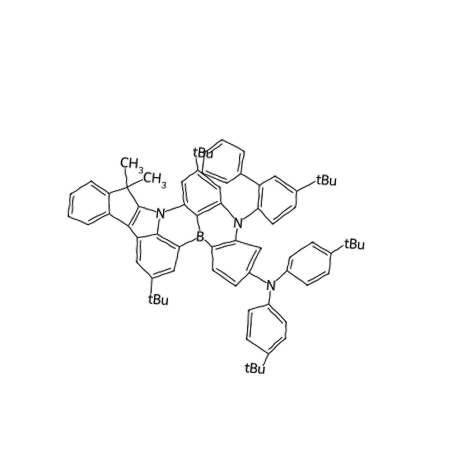 CC(C)(C)c1ccc(N(c2ccc(C(C)(C)C)cc2)c2ccc3c(c2)N(c2ccc(C(C)(C)C)cc2-c2ccccc2)c2cc(C(C)(C)C)cc4c2B3c2cc(C(C)(C)C)cc3c5c(n-4c23)C(C)(C)c2ccccc2-5)cc1